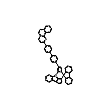 c1ccc2c(c1)-c1ccccc1C21c2ccc(-c3ccc(-c4ccc(-c5ccc6ccc7ccccc7c6n5)cc4)cc3)cc2-n2c3ccccc3c3cccc1c32